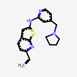 C=Cc1ccc2cc(Nc3cc(CN4CCCC4)ccn3)sc2n1